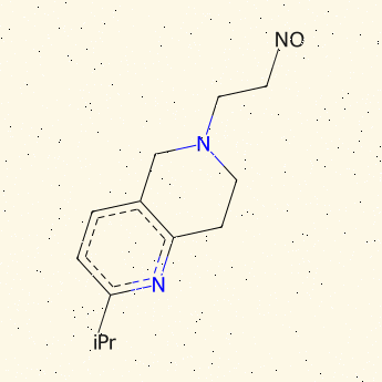 CC(C)c1ccc2c(n1)CCN(CCN=O)C2